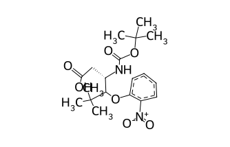 CC(C)(C)OC(=O)N[C@@H](CC(=O)O)C(Oc1ccccc1[N+](=O)[O-])C(C)(C)C